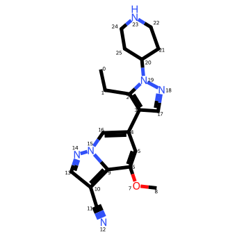 CCc1c(-c2cc(OC)c3c(C#N)cnn3c2)cnn1C1CCNCC1